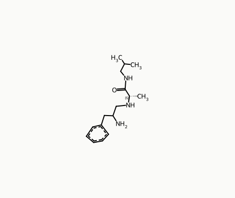 CC(C)CNC(=O)[C@H](C)NCC(N)Cc1ccccc1